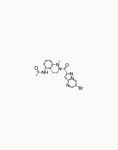 CC(=O)Nc1cccc2c1CCN(C(=O)c1cc3ncc(Br)cn3n1)N2C